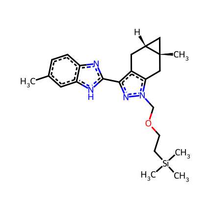 Cc1ccc2nc(-c3nn(COCC[Si](C)(C)C)c4c3C[C@@H]3C[C@]3(C)C4)[nH]c2c1